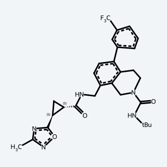 Cc1noc([C@H]2C[C@@H]2C(=O)NCc2ccc(-c3cccc(C(F)(F)F)c3)c3c2CN(C(=O)NC(C)(C)C)CC3)n1